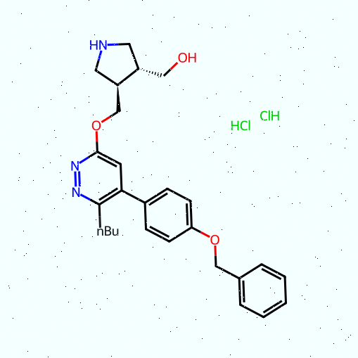 CCCCc1nnc(OC[C@H]2CNC[C@@H]2CO)cc1-c1ccc(OCc2ccccc2)cc1.Cl.Cl